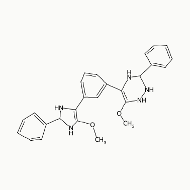 COC1=C(c2cccc(C3=C(OC)NC(c4ccccc4)N3)c2)NC(c2ccccc2)NN1